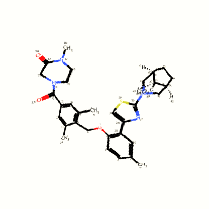 Cc1ccc(OCc2c(C)cc(C(=O)N3CCN(C)C(=O)C3)cc2C)c(-c2csc(N3C[C@H]4CC[C@@H](C3)[C@H]4C(=O)O)n2)c1